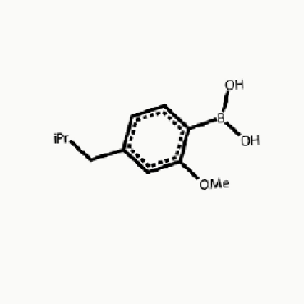 COc1cc(CC(C)C)ccc1B(O)O